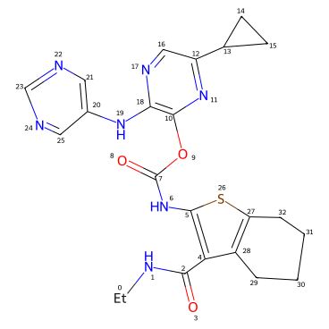 CCNC(=O)c1c(NC(=O)Oc2nc(C3CC3)cnc2Nc2cncnc2)sc2c1CCCC2